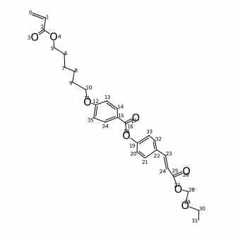 C=CC(=O)OCCCCCCOc1ccc(C(=O)Oc2ccc(C=CC(=O)OCOCC)cc2)cc1